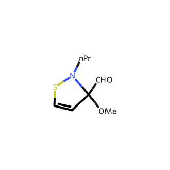 CCCN1SC=CC1(C=O)OC